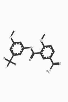 COc1cc(NC(=O)c2cc(C(N)=O)ccc2OC)cc(C(F)(F)F)c1